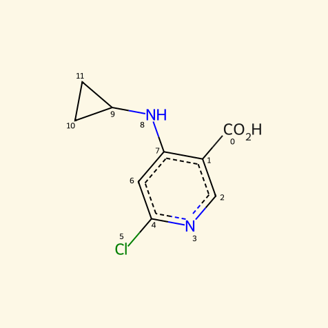 O=C(O)c1cnc(Cl)cc1NC1CC1